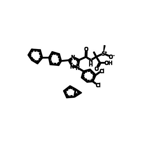 C[S@@+]([O-])C(C)(NC(=O)c1nc(-c2ccc(-c3ccccc3)cc2)nn1-c1ccc(Cl)c(Cl)c1)C(=O)O.c1cc2cc-2c1